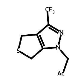 CC(=O)Cn1nc(C(F)(F)F)c2c1CSC2